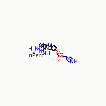 CCCCCNc1nc(N)nc2ccn(Cc3cc(OCC(=O)OCCN4CCNCC4)ccc3OC)c12